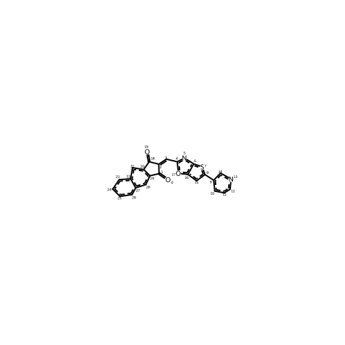 O=C1C(=Cc2nc3sc(-c4cccnc4)cc3o2)C(=O)c2cc3ccccc3cc21